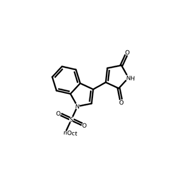 CCCCCCCCS(=O)(=O)n1cc(C2=CC(=O)NC2=O)c2ccccc21